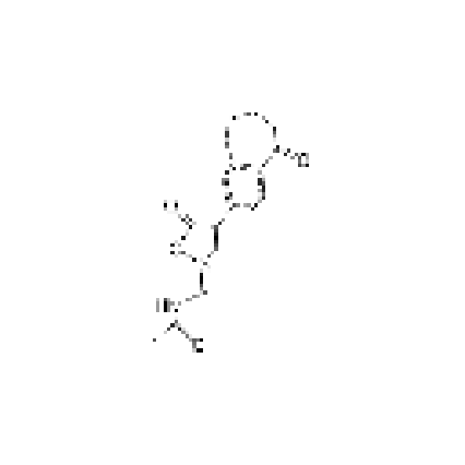 CC(=O)NC[C@@H]1CC(c2ccc3c(c2)CCCCC3=O)C(=O)O1